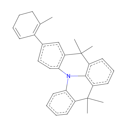 CC1=C(c2ccc3c(c2)C(C)(C)c2cccc4c2N3c2ccccc2C4(C)C)C=CCC1